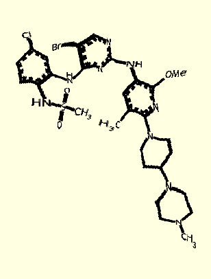 COc1nc(N2CCC(N3CCN(C)CC3)CC2)c(C)cc1Nc1ncc(Br)c(Nc2cc(Cl)ccc2NS(C)(=O)=O)n1